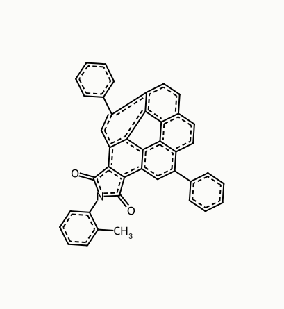 Cc1ccccc1-n1c(=O)c2c3cc(-c4ccccc4)c4ccc5ccc6c(-c7ccccc7)cc(c2c1=O)c1c6c5c4c31